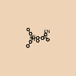 N#Cc1ccc2c(c1)c1cc(-c3ccc(-c4nc(-c5ccc(-c6ccccc6)cc5)nc(-c5ccc(-c6ccccc6)cc5)n4)c4ccccc34)ccc1n2-c1ccccc1